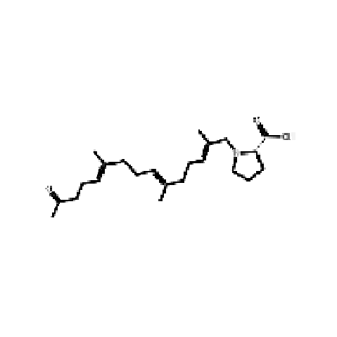 CC(=O)CCC=C(C)CCC=C(C)CCC=C(C)CN1CCC[C@H]1C(=O)O